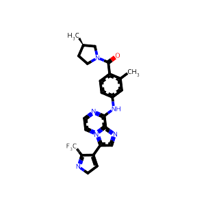 Cc1cc(Nc2nccn3c(C4=CCN=C4C(F)(F)F)cnc23)ccc1C(=O)N1CC[C@@H](C)C1